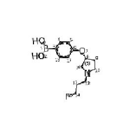 OB(O)c1ccc(O[C@H]2CCN(CCCF)C2)cc1